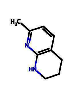 Cc1ccc2c(n1)NCCC2